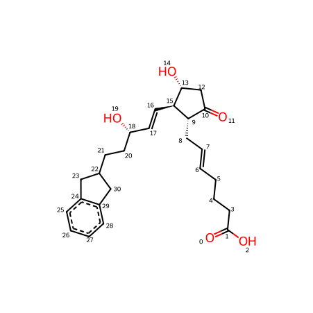 O=C(O)CCCC=CC[C@H]1C(=O)C[C@@H](O)[C@@H]1C=C[C@@H](O)CCC1Cc2ccccc2C1